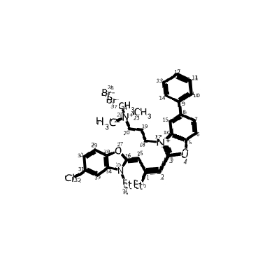 CCC(=Cc1oc2ccc(-c3ccccc3)cc2[n+]1CCC[N+](C)(C)C)C=C1Oc2ccc(Cl)cc2N1CC.[Br-].[Br-]